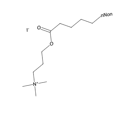 CCCCCCCCCCCCCC(=O)OCCC[N+](C)(C)C.[I-]